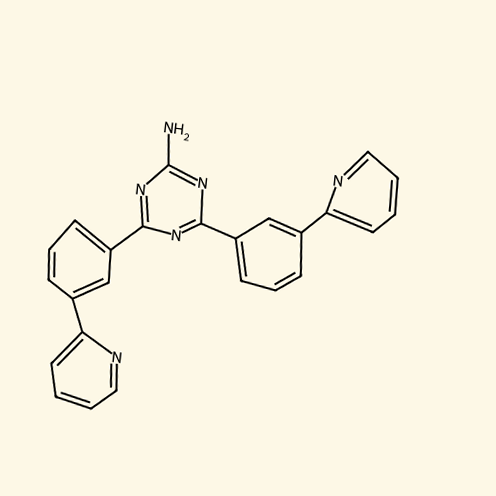 Nc1nc(-c2cccc(-c3ccccn3)c2)nc(-c2cccc(-c3ccccn3)c2)n1